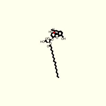 CCCCCCCCCCCCCCCCCC(=O)O[C@@H](CC(=O)O)C(=O)OC1=CC[C@@]2(O)[C@H]3Cc4ccc(CO)c5c4C2(CCN3C)C1O5